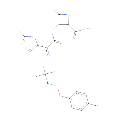 COC(=O)C1C(NC(=O)C(=NOC(C)(C)C(=O)OCc2ccc([N+](=O)[O-])cc2)c2csc(N)n2)C(=O)N1S(=O)(=O)O